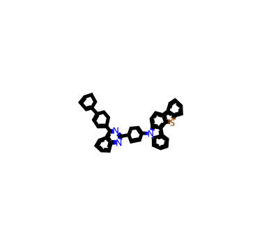 C1=CCCC(C2=CC=C(c3nc(C4C=CC(n5c6ccccc6c6c7sc8ccccc8c7ccc65)=CC4)nc4ccccc34)CC2)=C1